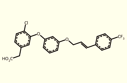 O=C(O)Cc1ccc(Cl)c(Oc2cccc(OC/C=C/c3ccc(C(F)(F)F)cc3)c2)c1